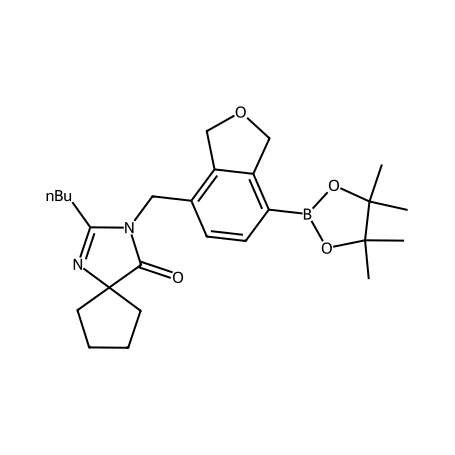 CCCCC1=NC2(CCCC2)C(=O)N1Cc1ccc(B2OC(C)(C)C(C)(C)O2)c2c1COC2